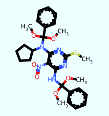 COC(Nc1nc(SC)nc(N(C2CCCC2)C(OC)(OC)c2ccccc2)c1[N+](=O)[O-])(OC)c1ccccc1